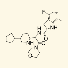 Cc1ccc(F)c2c1NC(C(=O)NC(C(=O)N1CCOCC1)C1CCC(C3CCCC3)CN1)C2